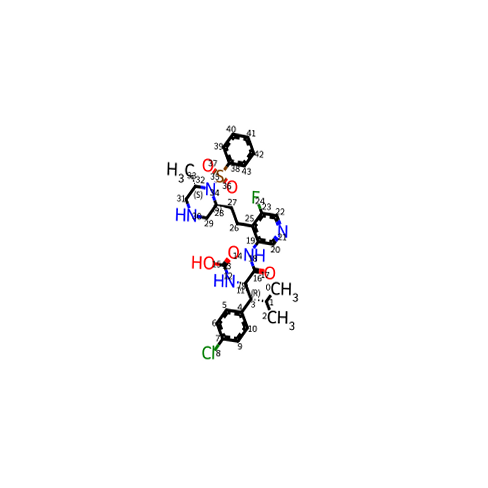 CC(C)[C@H](c1ccc(Cl)cc1)[C@H](NC(=O)O)C(=O)Nc1cncc(F)c1CC[C@H]1CNC[C@H](C)N1S(=O)(=O)c1ccccc1